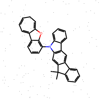 CC1(C)c2ccccc2-c2cc3c4ccccc4n(-c4cccc5c6c(oc45)=CCC=CC=6)c3cc21